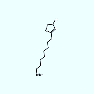 CCCCCCCCCCCCCCCCCC1=NC(CC)CO1